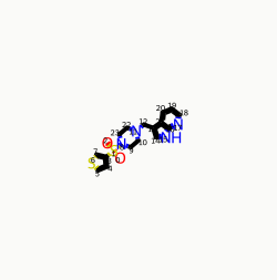 O=S(=O)(c1ccsc1)N1CCN(Cc2c[nH]c3ncccc23)CC1